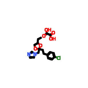 CCC1COC(CCc2ccc(Cl)cc2)(Cn2ccnc2)O1.O=C(O)C(=O)O